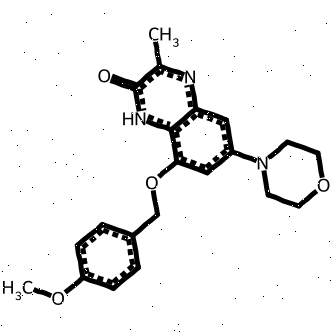 COc1ccc(COc2cc(N3CCOCC3)cc3nc(C)c(=O)[nH]c23)cc1